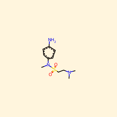 CN(C)CCS(=O)(=O)N(C)c1ccc(N)cc1